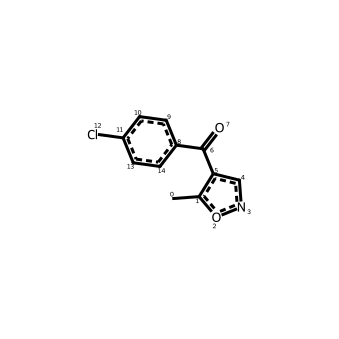 Cc1oncc1C(=O)c1ccc(Cl)cc1